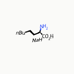 CCCCCC[C@@H](N)C(=O)O.[NaH]